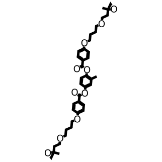 Cc1cc(OC(=O)c2ccc(OCCCCOCCC3(C)CO3)cc2)ccc1OC(=O)c1ccc(OCCCCOCCC2(C)CO2)cc1